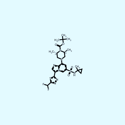 C[C@H]1CN(c2cc(S(=O)(=O)NC3(C)CC3)cn3c(-c4nnc(C(F)F)s4)cnc23)C[C@H](C)N1C(=O)OC(C)(C)C